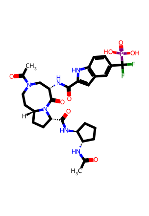 CC(=O)N[C@H]1CCC[C@@H]1NC(=O)[C@@H]1CC[C@@H]2CCN(C(C)=O)C[C@H](NC(=O)c3cc4cc(C(F)(F)P(=O)(O)O)ccc4[nH]3)C(=O)N21